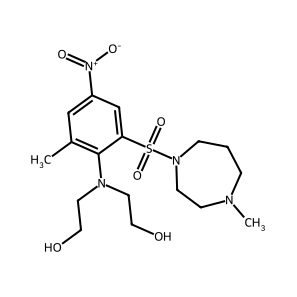 Cc1cc([N+](=O)[O-])cc(S(=O)(=O)N2CCCN(C)CC2)c1N(CCO)CCO